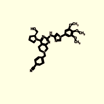 COc1cc(-n2cnc(Nc3nc4c(c(N5CCC[C@H]5CO)n3)CCN(Cc3ccc(C#N)cc3)C4)c2)cc(OC)c1OC